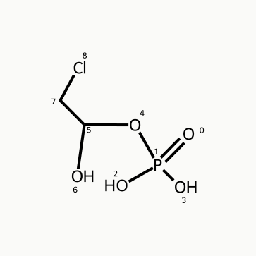 O=P(O)(O)OC(O)CCl